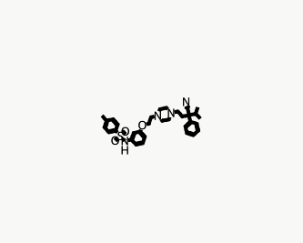 Cc1ccc(S(=O)(=O)Nc2cccc(OCCN3CCN(CCC(C#N)(c4ccccc4)C(C)C)CC3)c2)cc1